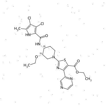 CCOC(=O)c1sc(N2CC[C@@H](NC(=O)c3[nH]c(C)c(Cl)c3Cl)[C@@H](OCC)C2)nc1-c1cnccn1